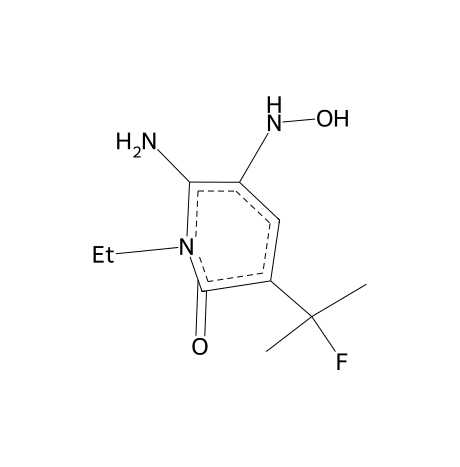 CCn1c(N)c(NO)cc(C(C)(C)F)c1=O